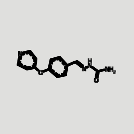 NC(=O)NN=Cc1ccc(Oc2ccncc2)cc1